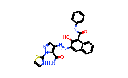 NC(=O)c1c(/N=N/c2cc3ccccc3c(C(=O)Nc3ccccc3)c2O)cnn1-c1nccs1